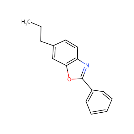 CCCc1ccc2nc(-c3ccccc3)oc2c1